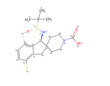 CC(C)(C)[S@@+]([O-])N[C@@H]1c2c(F)ccc(F)c2CC12CCN(C(=O)O)CC2